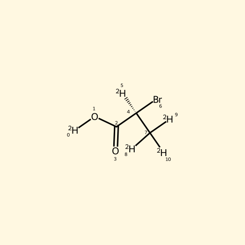 [2H]OC(=O)[C@@]([2H])(Br)C([2H])([2H])[2H]